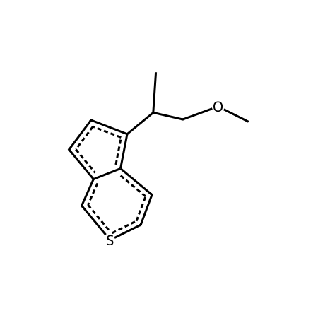 COCC(C)c1ccc2csccc1-2